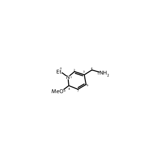 CCN1C=C(CN)C=CC1OC